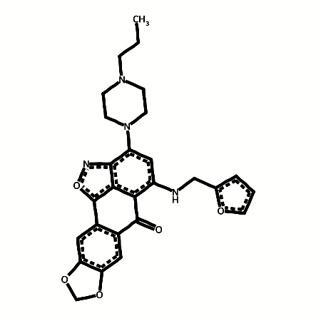 CCCN1CCN(c2cc(NCc3ccco3)c3c4c(onc24)-c2cc4c(cc2C3=O)OCO4)CC1